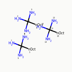 CCCCCCCCC(N)(N)N.CCCCCCCCC(N)(N)N.CCCCCCCCC(N)(N)N